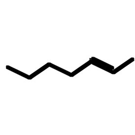 C/C=[C]/CCCC